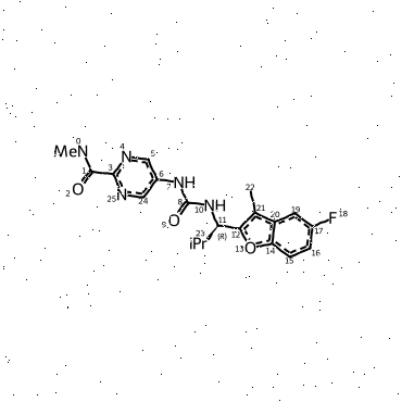 CNC(=O)c1ncc(NC(=O)N[C@@H](c2oc3ccc(F)cc3c2C)C(C)C)cn1